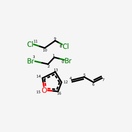 BrCCBr.C=CC=C.ClCCCl.c1ccoc1